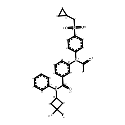 CC(=O)N(c1ccc(S(=O)(=O)CC2CC2)cc1)c1cccc(C(=O)N(c2ccccc2)C2CC(F)(F)C2)c1